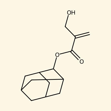 C=C(CO)C(=O)OC1C2CC3CC(C2)CC1C3